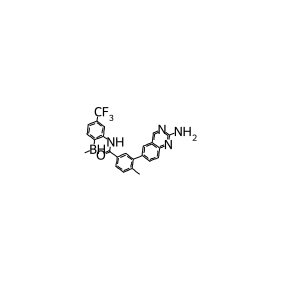 CBc1ccc(C(F)(F)F)cc1NC(=O)c1ccc(C)c(-c2ccc3nc(N)ncc3c2)c1